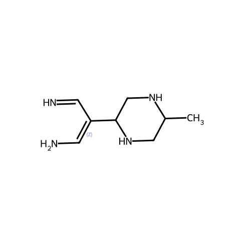 CC1CNC(/C(C=N)=C/N)CN1